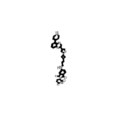 O=C1CCC(N2C(=O)c3ccc(NCCCC4CC(n5cc(-c6cnc7c(C8CCNCC8)cccc7n6)cn5)C4)cc3C2=O)C(=O)N1